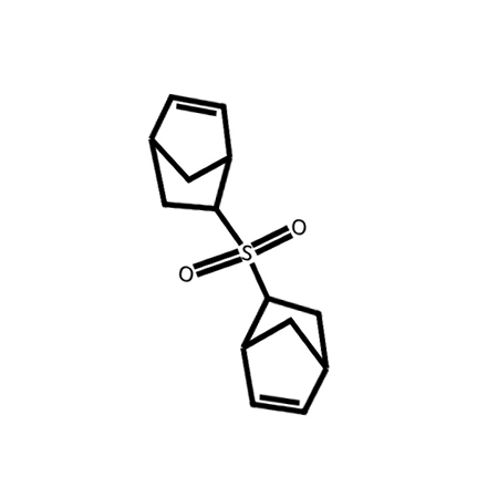 O=S(=O)(C1CC2C=CC1C2)C1CC2C=CC1C2